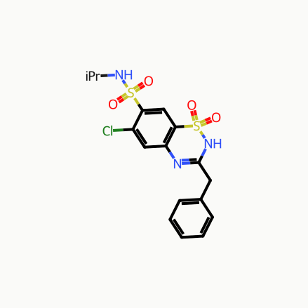 CC(C)NS(=O)(=O)c1cc2c(cc1Cl)N=C(Cc1ccccc1)NS2(=O)=O